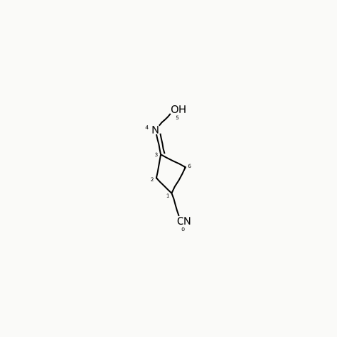 N#CC1CC(=NO)C1